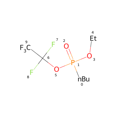 CCCCP(=O)(OCC)OC(F)(F)C(F)(F)F